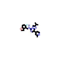 Cc1cc(-c2cnc(NCc3c(F)ccc4c3CCO4)n3cc(C(C)C)nc23)ccn1